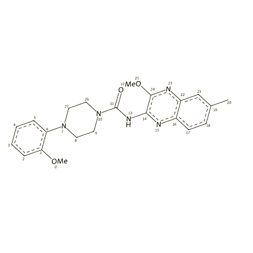 COc1ccccc1N1CCN(C(=O)Nc2nc3ccc(C)cc3nc2OC)CC1